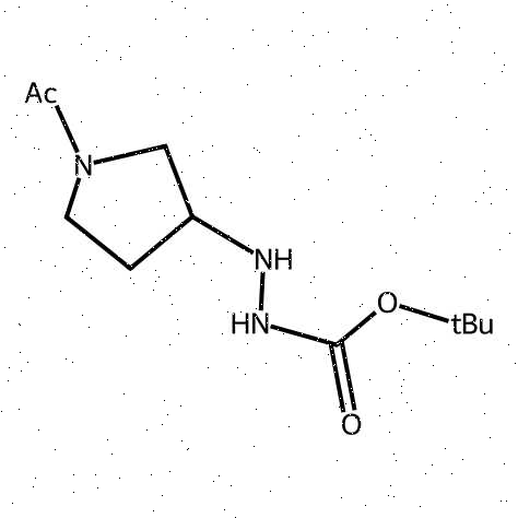 CC(=O)N1CCC(NNC(=O)OC(C)(C)C)C1